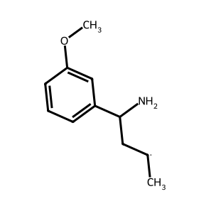 C[CH]CC(N)c1cccc(OC)c1